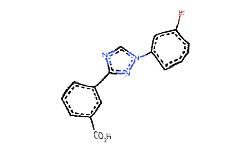 O=C(O)c1cccc(-c2ncn(-c3cccc(Br)c3)n2)c1